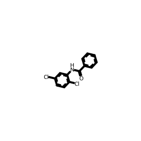 O=C(Nc1cc(Cl)[c]cc1Cl)c1ccccc1